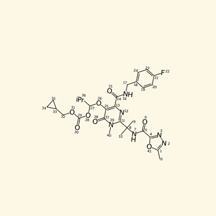 Cc1nnc(C(=O)NC(C)(C)c2nc(C(=O)NCc3ccc(F)cc3)c(OC(OC(=O)OCC3CC3)C(C)C)c(=O)n2C)o1